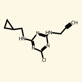 C#CCNc1nc(Cl)nc(NCC2CC2)n1